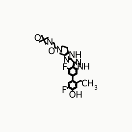 CCc1cc(O)c(F)cc1-c1cc(F)c2c(-c3nc4c([nH]3)CCN(C(=O)CN3CC5(COC5)C3)C4)n[nH]c2c1